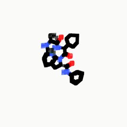 CN[C@@H](C)C(=O)N[C@H](C(=O)N1c2ncccc2C[C@H]1C(=O)Nc1ccccc1)C1CCCCC1